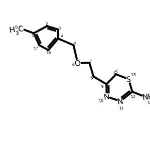 Cc1ccc(COCCC2=NN=C(N)SC2)cc1